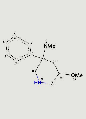 CNC1(c2ccccc2)CNCC(OC)C1